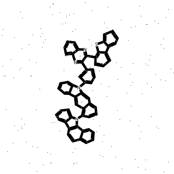 c1cc(-c2nc3ccccc3nc2-c2cccc3c2sc2ccccc23)cc(-n2c3ccccc3c3cc4c(-n5c6ccccc6c6ccc7ccccc7c65)cccc4cc32)c1